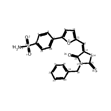 NS(=O)(=O)c1ccc(-c2ccc(C=C3SC(=S)N(Cc4ccccc4)C3=O)o2)cc1